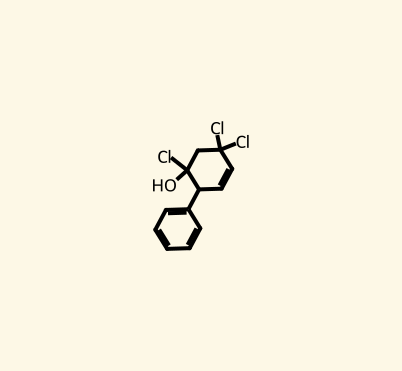 OC1(Cl)CC(Cl)(Cl)C=CC1c1ccccc1